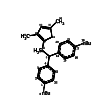 CCCCc1ccc(C([SiH2]C2=C(C)C=C(C)C2)c2ccc(CCCC)cc2)cc1